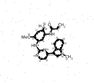 C=CC(=O)Nc1cc(Nc2nccc(-c3cn(C)c4ccccc34)n2)c(OC)cc1C